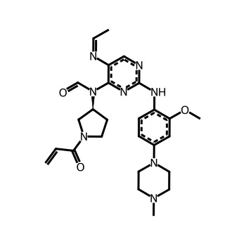 C=CC(=O)N1CC[C@H](N(C=O)c2nc(Nc3ccc(N4CCN(C)CC4)cc3OC)ncc2/N=C\C)C1